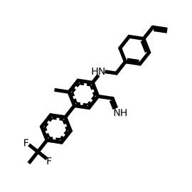 C=CC1=CC=C(CNc2cc(C)c(-c3ccc(C(C)(F)F)cc3)cc2C=N)CC1